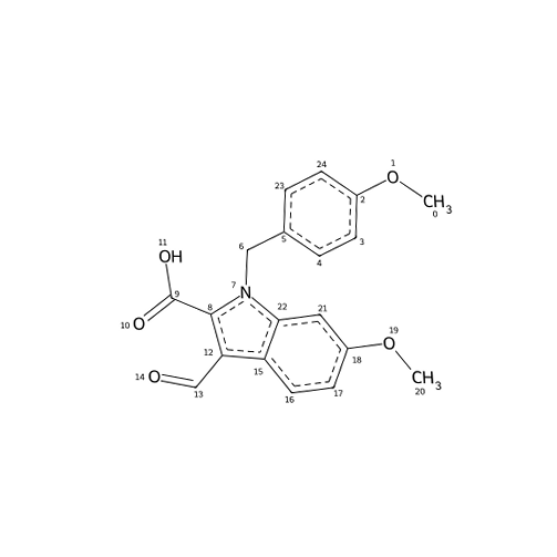 COc1ccc(Cn2c(C(=O)O)c(C=O)c3ccc(OC)cc32)cc1